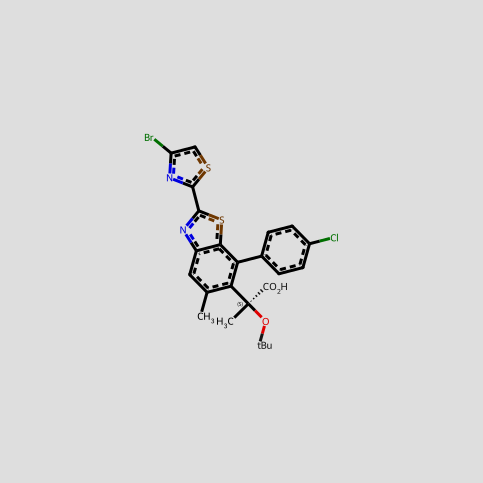 Cc1cc2nc(-c3nc(Br)cs3)sc2c(-c2ccc(Cl)cc2)c1[C@](C)(OC(C)(C)C)C(=O)O